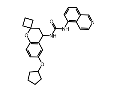 O=C(Nc1cccc2cnccc12)NC1CC2(CCC2)Oc2ccc(OC3CCCC3)cc21